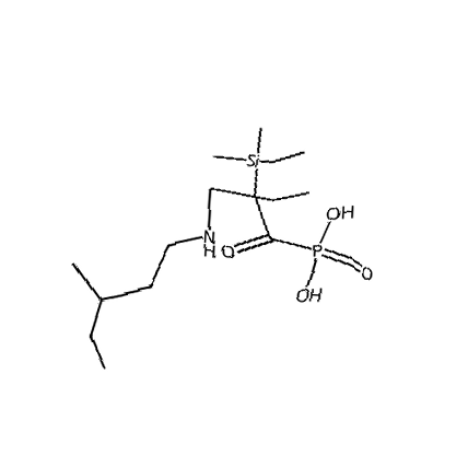 CCC(C)CCNCC(C)(C(=O)P(=O)(O)O)[Si](C)(C)C